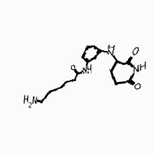 NCCCCCC(=O)Nc1cccc(NC2CCC(=O)NC2=O)c1